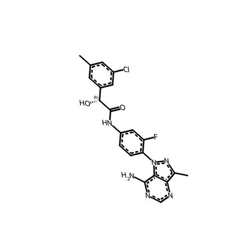 Cc1cc(Cl)cc([C@@H](O)C(=O)Nc2ccc(-n3nc(C)c4ncnc(N)c43)c(F)c2)c1